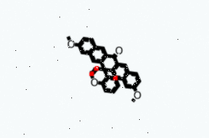 COc1ccc2cc3c(cc2c1)C1(c2ccccc2Oc2ccccc21)c1cc2cc(OC)ccc2cc1C3=O